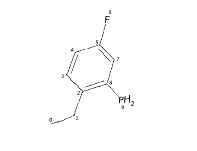 CCc1ccc(F)cc1P